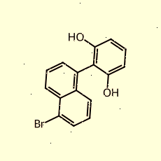 Oc1cccc(O)c1-c1cccc2c(Br)cccc12